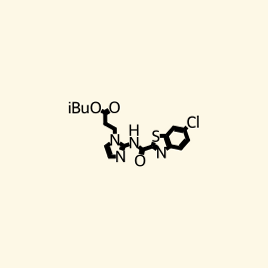 CC(C)COC(=O)CCn1ccnc1NC(=O)c1nc2ccc(Cl)cc2s1